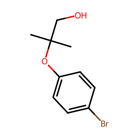 CC(C)(CO)Oc1ccc(Br)cc1